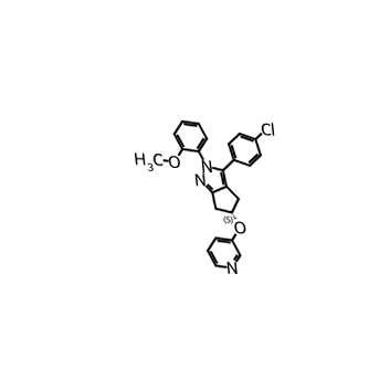 COc1ccccc1-n1nc2c(c1-c1ccc(Cl)cc1)C[C@H](Oc1cccnc1)C2